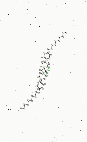 CCCCCCCCCCc1ccc(C2CCC3(CC2)CC2(CCC(c4ccc(CCCCCCCCCC)cc4)CC2)C3(Cl)Cl)cc1